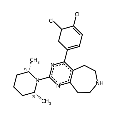 C[C@@H]1CCC[C@H](C)N1c1nc2c(c(C3=CC=C(Cl)C(Cl)C3)n1)CCNCC2